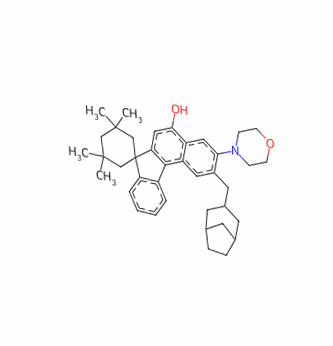 CC1(C)CC(C)(C)CC2(C1)c1ccccc1-c1c2cc(O)c2cc(N3CCOCC3)c(CC3CC4CCC(C4)C3)cc12